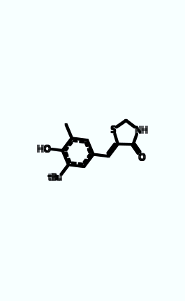 Cc1cc(/C=C2\SCNC2=O)cc(C(C)(C)C)c1O